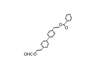 O=COC=Cc1ccc(-c2ccc(C=COC(=O)c3ccccc3)cc2)cc1